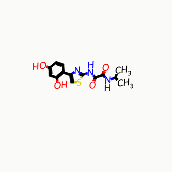 CC(C)NC(=O)C(=O)Nc1nc(-c2ccc(O)cc2O)cs1